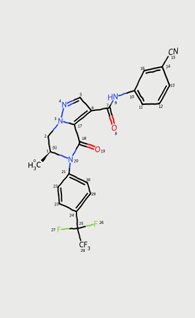 C[C@H]1Cn2ncc(C(=O)Nc3cccc(C#N)c3)c2C(=O)N1c1ccc(C(F)(F)C(F)(F)F)cc1